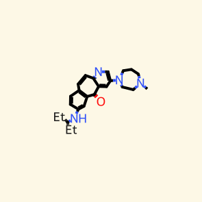 CCC(CC)Nc1ccc2ccc3ncc(N4CCCN(C)CC4)cc3c(=O)c2c1